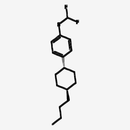 CCCC[C@H]1CC[C@H](c2ccc(SC(F)F)cc2)CC1